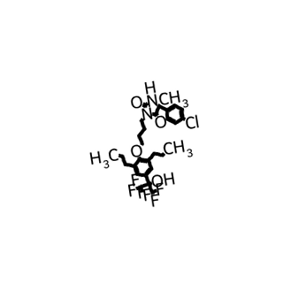 CCCc1cc(C(O)(C(F)(F)F)C(F)(F)F)cc(CCC)c1OCCCCN1C(=O)NC(C)(c2ccc(Cl)cc2)C1=O